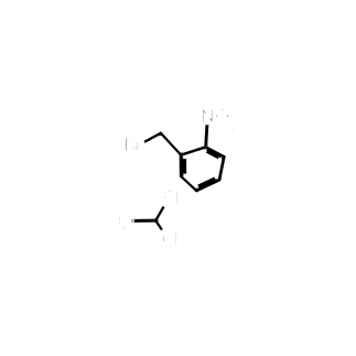 ClC(Cl)Cl.O=[N+]([O-])c1ccccc1CBr